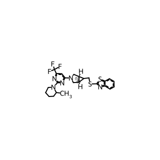 CC1CCCCN1c1nc(N2C[C@@H]3C(CSc4nc5ccccc5s4)[C@@H]3C2)cc(C(F)(F)F)n1